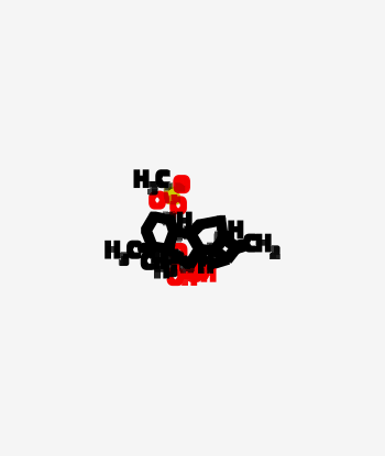 C=C1C2C(=O)C34[C@H]2[C@H]1CC[C@H]3[C@@]12CO[C@@]4(O)[C@@H](O)[C@@H]1C(C)(C)CC[C@@H]2OS(C)(=O)=O